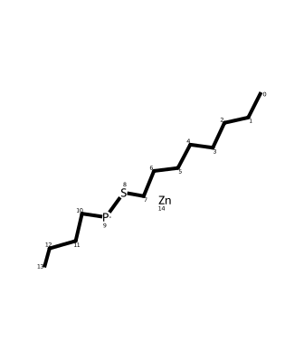 CCCCCCCCS[P]CCCC.[Zn]